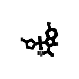 NC(=O)c1[nH]c2ccc(Br)cc2c1S(=O)(=O)N1CCC(F)C1